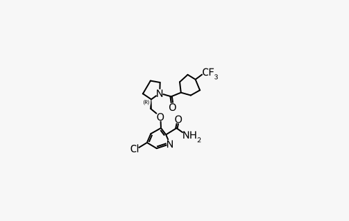 NC(=O)c1ncc(Cl)cc1OC[C@H]1CCCN1C(=O)C1CCC(C(F)(F)F)CC1